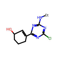 CCNc1nc(Cl)nc(C2=CC(O)CCC2)n1